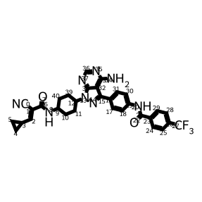 N#CC(=CC1CC1)C(=O)NC1CCC(n2nc(-c3ccc(NC(=O)c4ccc(C(F)(F)F)cc4)cc3)c3c(N)ncnc32)CC1